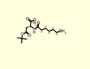 CC(C)(C)OC(=O)C[C@H](NC(=O)CCCCCN)C(=O)O